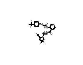 N#CC1CC(F)(F)CN1C(=O)CNC(=O)c1ccncc1NC(=O)COc1ccc(C(F)(F)F)cc1